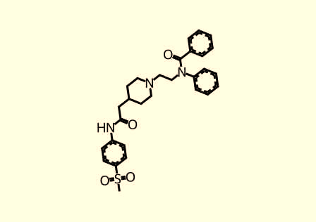 CS(=O)(=O)c1ccc(NC(=O)CC2CCN(CCN(C(=O)c3ccccc3)c3ccccc3)CC2)cc1